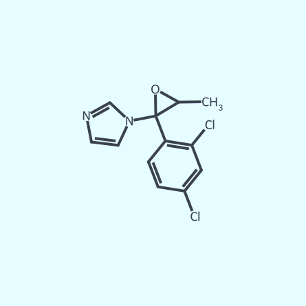 CC1OC1(c1ccc(Cl)cc1Cl)n1ccnc1